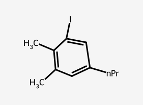 CCCc1cc(C)c(C)c(I)c1